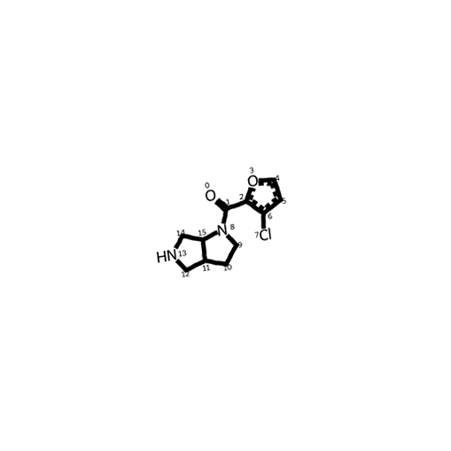 O=C(c1occc1Cl)N1CCC2CNCC21